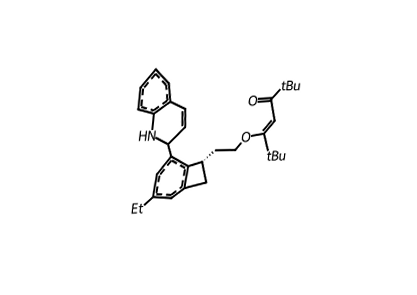 CCc1cc2c(c(C3C=Cc4ccccc4N3)c1)[C@H](CCO/C(=C\C(=O)C(C)(C)C)C(C)(C)C)C2